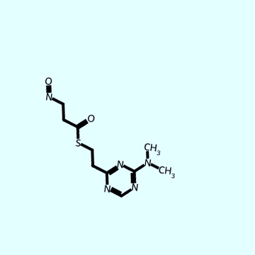 CN(C)c1ncnc(CCSC(=O)CCN=O)n1